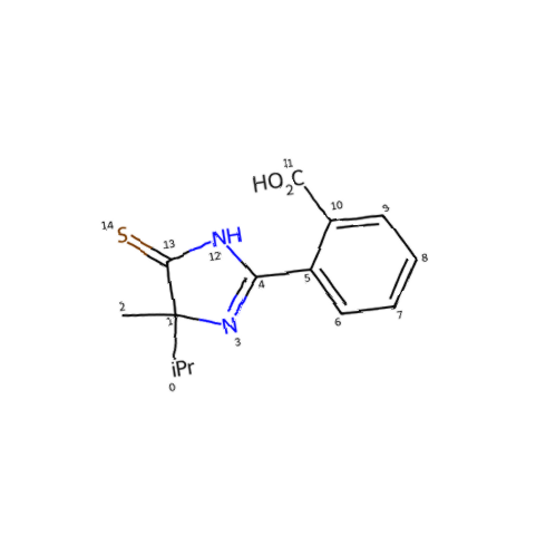 CC(C)C1(C)N=C(c2ccccc2C(=O)O)NC1=S